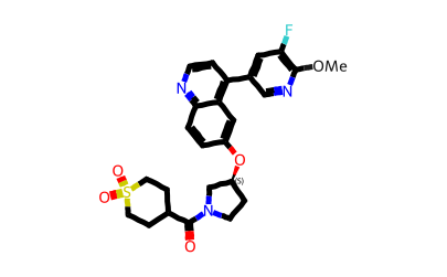 COc1ncc(-c2ccnc3ccc(O[C@H]4CCN(C(=O)C5CCS(=O)(=O)CC5)C4)cc23)cc1F